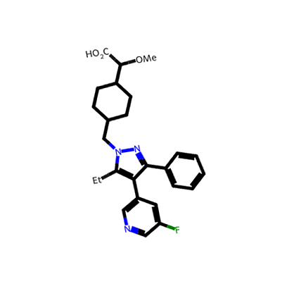 CCc1c(-c2cncc(F)c2)c(-c2ccccc2)nn1CC1CCC(C(OC)C(=O)O)CC1